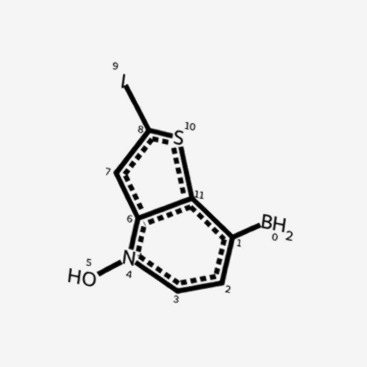 Bc1cc[n+](O)c2cc(I)sc12